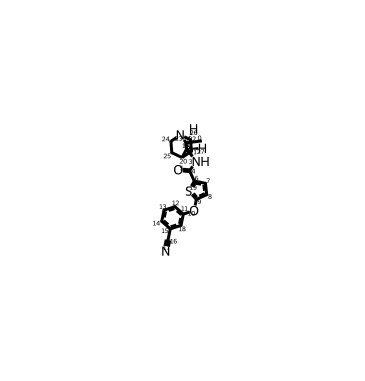 C[C@H]1[C@H](NC(=O)c2ccc(Oc3cccc(C#N)c3)s2)C2CCN1CC2